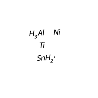 [AlH3].[Ni].[SnH2].[Ti]